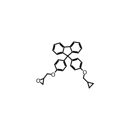 c1ccc2c(c1)-c1ccccc1C2(c1ccc(OCC2CC2)cc1)c1ccc(OCC2CO2)cc1